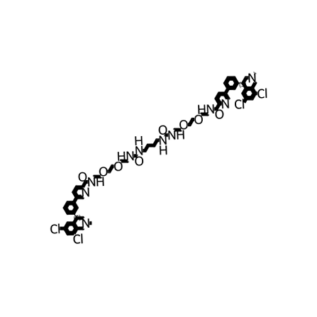 CN1Cc2c(Cl)cc(Cl)cc2[C@H](c2cccc(-c3ccc(C(=O)NCCOCCOCCNC(=O)NCCCCNC(=O)NCCOCCOCCNC(=O)c4ccc(-c5cccc([C@@H]6CN(C)Cc7c(Cl)cc(Cl)cc76)c5)cn4)nc3)c2)C1